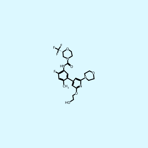 Cc1cc(F)c(NC(=O)N2CCO[C@@H](C(F)(F)F)C2)cc1-c1cc(OCCO)nc(N2CCOCC2)c1